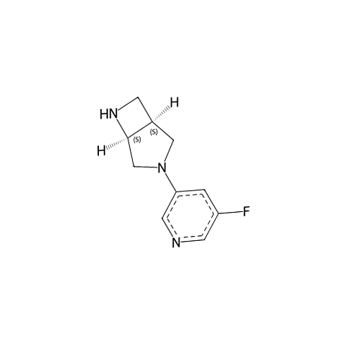 Fc1cncc(N2C[C@@H]3CN[C@@H]3C2)c1